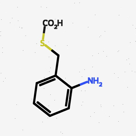 Nc1ccccc1CSC(=O)O